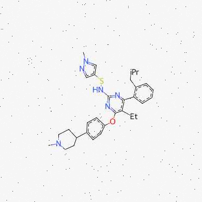 CCc1c(Oc2ccc(C3CCN(C)CC3)cc2)nc(NSc2cnn(C)c2)nc1-c1ccccc1CC(C)C